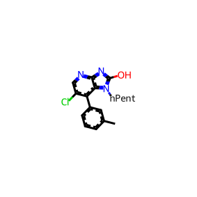 CCCCCn1c(O)nc2ncc(Cl)c(-c3cccc(C)c3)c21